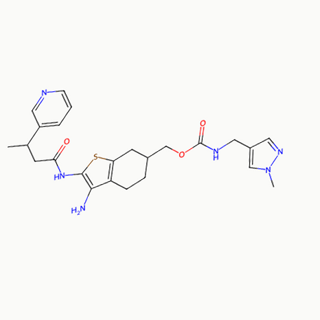 CC(CC(=O)Nc1sc2c(c1N)CCC(COC(=O)NCc1cnn(C)c1)C2)c1cccnc1